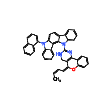 C/C=C\C=C1\Oc2ccccc2C2=C1CNC(n1c3ccccc3c3ccc4c(c5ccccc5n4-c4cccc5ccccc45)c31)=N2